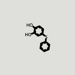 Oc1ccc(Sc2ccccc2)cc1O